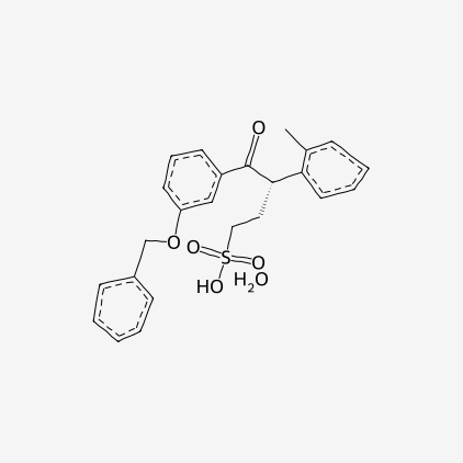 Cc1ccccc1[C@H](CCS(=O)(=O)O)C(=O)c1cccc(OCc2ccccc2)c1.O